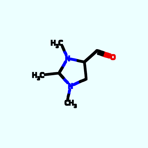 CC1N(C)CC(C=O)N1C